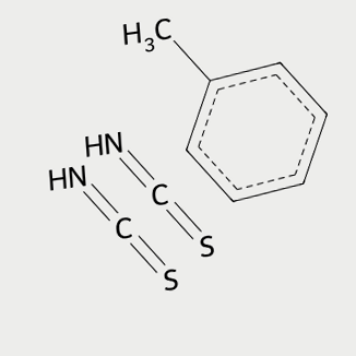 Cc1ccccc1.N=C=S.N=C=S